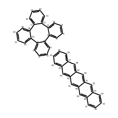 c1ccc2c(c1)-c1ccccc1-c1ccccc1-c1ccccc1-2.c1ccc2cc3cc4cc5ccccc5cc4cc3cc2c1